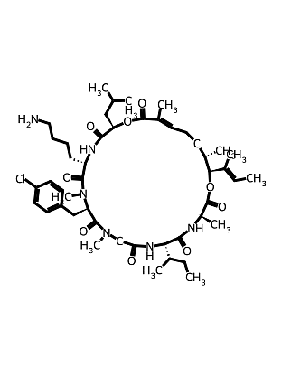 C/C=C(\C)[C@H]1OC(=O)[C@@H](C)NC(=O)[C@H](C(C)CC)NC(=O)CN(C)C(=O)[C@@H](Cc2ccc(Cl)cc2)N(C)C(=O)[C@H](CCCCN)NC(=O)[C@@H](CC(C)C)OC(=O)/C(C)=C/CC[C@@H]1C